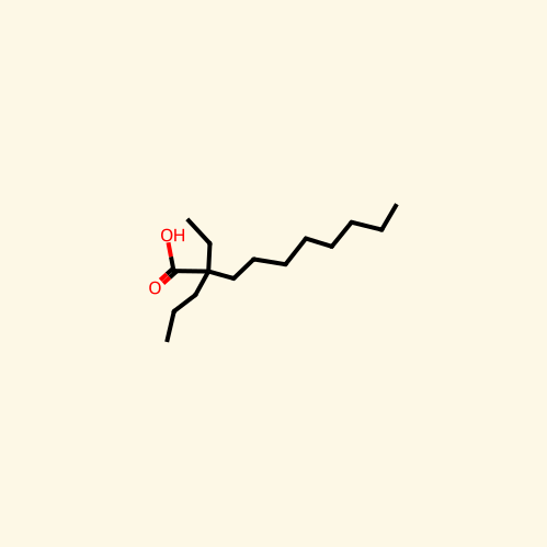 CCCCCCCCC(CC)(CCC)C(=O)O